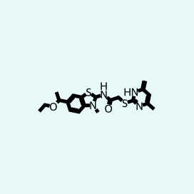 C=C1C=C(C)N=C(SCC(=O)NC2Sc3cc(C(C)OCC)ccc3N2C)N1